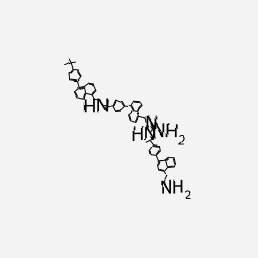 CC(C)(C)c1ccc(-c2cccc3c(CCNC(C)(C)c4ccc(-c5cccc6c(CCN=C(N)NC(C)(C)c7ccc(-c8ccc(CCN)c9ccccc89)cc7)cccc56)cc4)cccc23)cc1